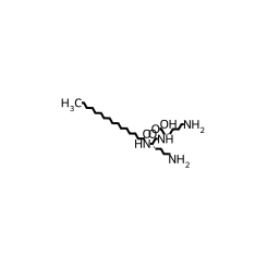 CCCCCCCCCCCCCCCC(=O)N[C@@H](CCCCN)C(=O)N[C@@H](CCCCN)C(=O)O